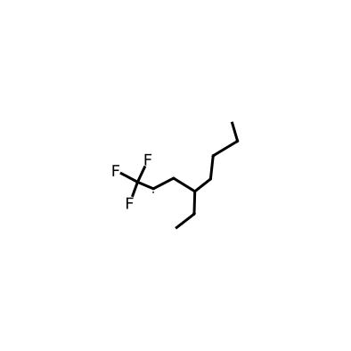 CCCCC(CC)C[CH]C(F)(F)F